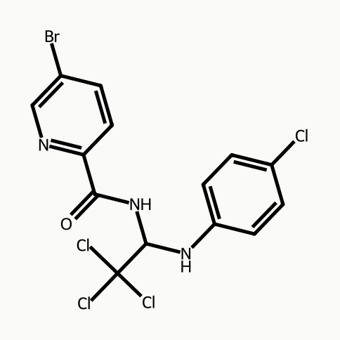 O=C(NC(Nc1ccc(Cl)cc1)C(Cl)(Cl)Cl)c1ccc(Br)cn1